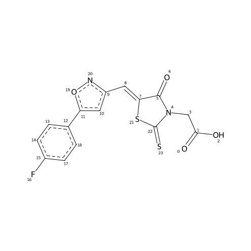 O=C(O)CN1C(=O)C(=Cc2cc(-c3ccc(F)cc3)on2)SC1=S